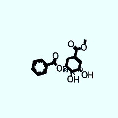 COC(=O)C1=C[C@@H](O)[C@H](O)[C@H](OC(=O)c2ccccc2)C1